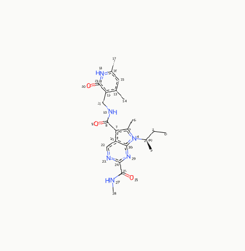 CC[C@@H](C)n1c(C)c(C(=O)NCc2c(C)cc(C)[nH]c2=O)c2cnc(C(=O)NC)nc21